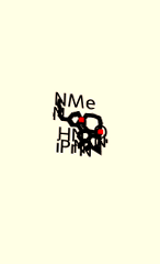 CNCCN(C)Cc1cccc(C2Nc3c(cnn3C(C)C)C(C(=O)N(C)C3CC3)C23/C=C\CCCCCC3)c1